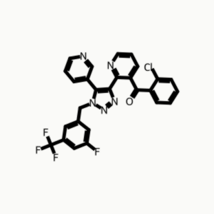 O=C(c1ccccc1Cl)c1cccnc1-c1nnn(Cc2cc(F)cc(C(F)(F)F)c2)c1-c1cccnc1